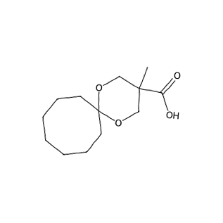 CC1(C(=O)O)COC2(CCCCCCC2)OC1